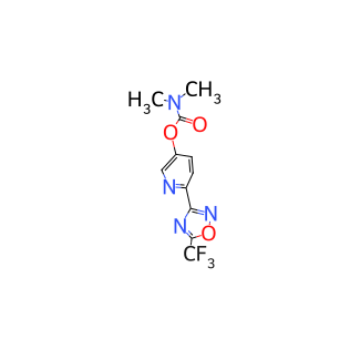 CN(C)C(=O)Oc1ccc(-c2noc(C(F)(F)F)n2)nc1